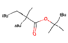 CC(C)(C)CC(C)(C(=O)OC(C)(C)C(C)(C)C)C(C)(C)C